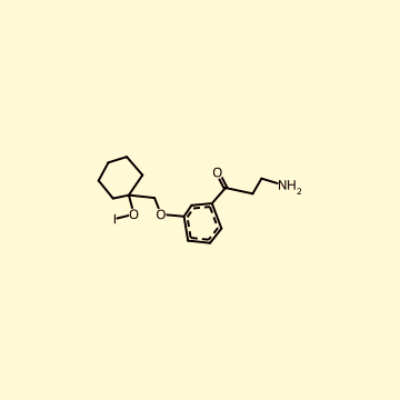 NCCC(=O)c1cccc(OCC2(OI)CCCCC2)c1